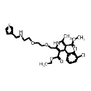 CCOC(=O)C1=C(COCCOCCNCc2ccsc2)NC(C)=C(C(=O)OC)C1c1cccc(Cl)c1Cl